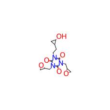 O=c1n(CCC2CC2O)c(=O)n(CC2CO2)c(=O)n1CC1CO1